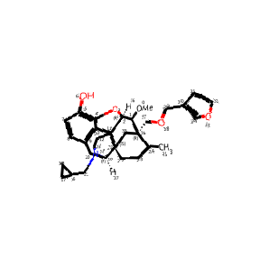 COC1[C@@H]2Oc3c(O)ccc4c3C23CCN(CC2CC2)[C@H](C4)[C@]32CCC(C)[C@@]1(COCc1ccoc1)C2